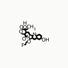 CC[C@@]1(O)C(=O)OCc2c1cc1n(c2=O)C(OCCF)c2cc3cc(O)ccc3nc2-1